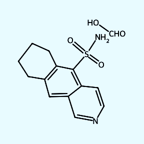 NS(=O)(=O)c1c2c(cc3cnccc13)CCCC2.O=CO